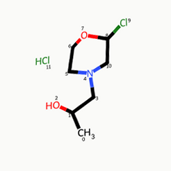 CC(O)CN1CCOC(Cl)C1.Cl